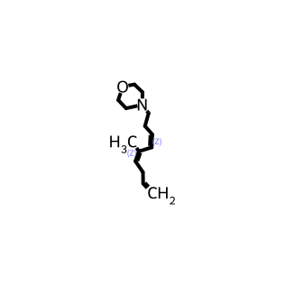 C=CC/C=C(C)\C=C/CCN1CCOCC1